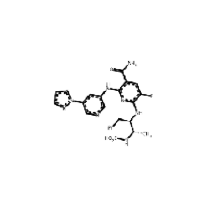 CC(C)C[C@@H](Nc1nc(Nc2cncc(-n3cccn3)c2)c(C(N)=O)cc1F)[C@H](C)NC(=O)O